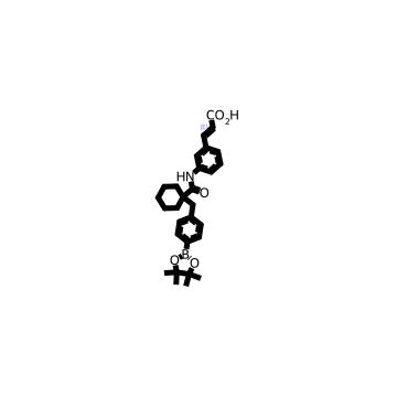 CC1(C)OB(c2ccc(CC3(C(=O)Nc4cccc(/C=C/C(=O)O)c4)CCCCC3)cc2)OC1(C)C